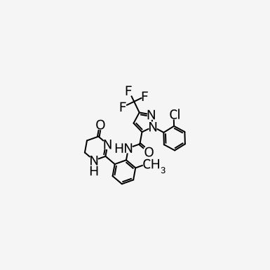 Cc1cccc(C2=NC(=O)CCN2)c1NC(=O)c1cc(C(F)(F)F)nn1-c1ccccc1Cl